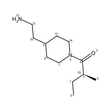 CC[C@H](C)C(=O)N1CCC(CCN)CC1